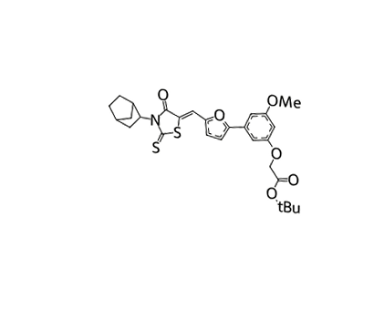 COc1cc(OCC(=O)OC(C)(C)C)cc(-c2ccc(/C=C3\SC(=S)N(C4CC5CCC4C5)C3=O)o2)c1